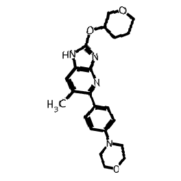 Cc1cc2[nH]c(OC3CCCOC3)nc2nc1-c1ccc(N2CCOCC2)cc1